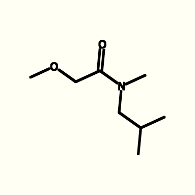 COCC(=O)N(C)CC(C)C